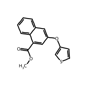 COC(=O)c1cc(Oc2ccsc2)cc2ccccc12